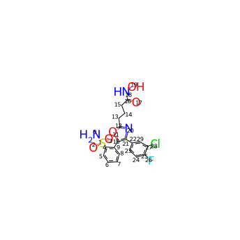 NS(=O)(=O)c1ccccc1-c1oc(CCCC(=O)NO)nc1-c1ccc(F)c(Cl)c1